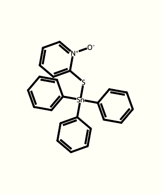 [O-][n+]1ccccc1[S][Sn]([c]1ccccc1)([c]1ccccc1)[c]1ccccc1